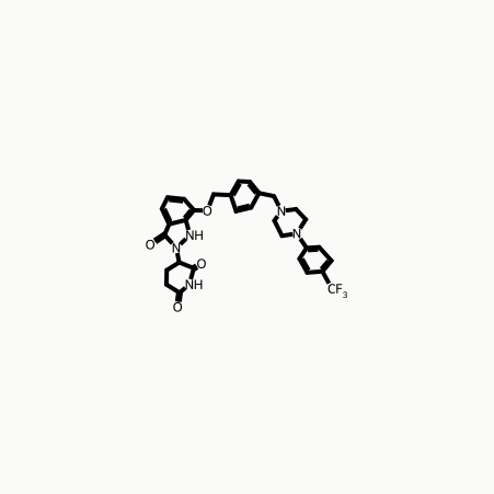 O=C1CCC(n2[nH]c3c(OCc4ccc(CN5CCN(c6ccc(C(F)(F)F)cc6)CC5)cc4)cccc3c2=O)C(=O)N1